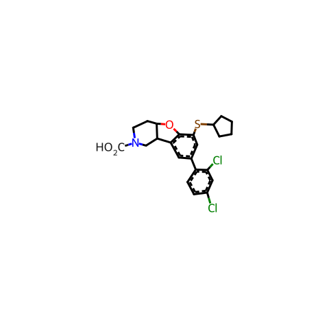 O=C(O)N1CCC2Oc3c(SC4CCCC4)cc(-c4ccc(Cl)cc4Cl)cc3C2C1